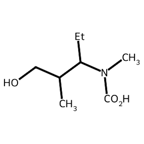 CCC(C(C)CO)N(C)C(=O)O